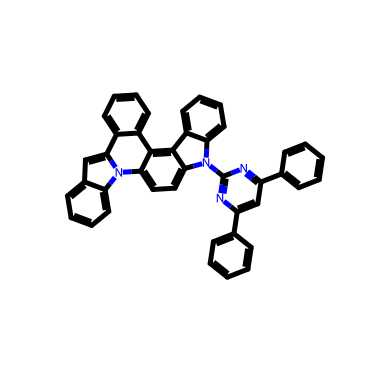 c1ccc(-c2cc(-c3ccccc3)nc(-n3c4ccccc4c4c5c6ccccc6c6cc7ccccc7n6c5ccc43)n2)cc1